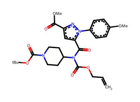 C=CCOC(=O)N(C(=O)c1cc(C(=O)OC)nn1-c1ccc(OC)cc1)C1CCN(C(=O)OC(C)(C)C)CC1